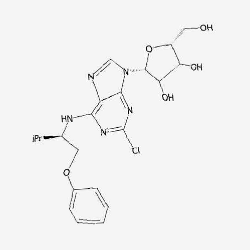 CC(C)[C@H](COc1ccccc1)Nc1nc(Cl)nc2c1ncn2[C@@H]1O[C@H](CO)C(O)C1O